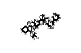 Cc1nc(-c2onc(C)c2Nc2cncc(-c3cccnc3)n2)ccc1NC(=O)[C@H]1CCCC[C@@H]1C(=O)OC(C)(C)C